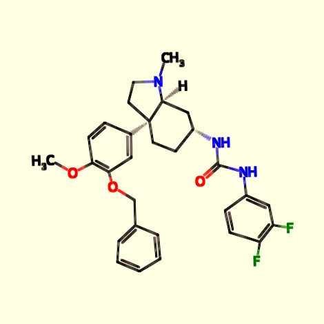 COc1ccc([C@@]23CC[C@@H](NC(=O)Nc4ccc(F)c(F)c4)C[C@@H]2N(C)CC3)cc1OCc1ccccc1